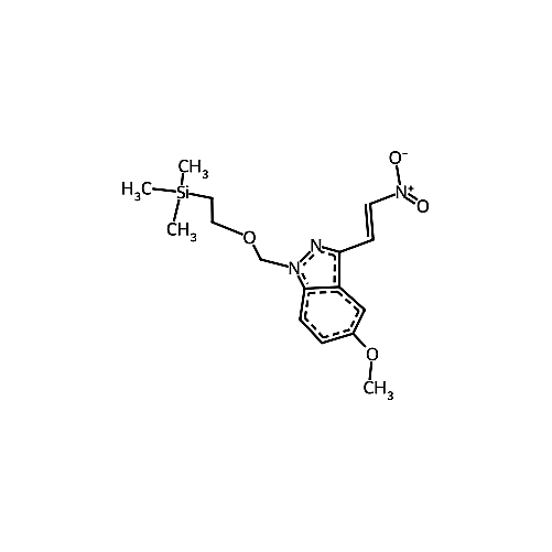 COc1ccc2c(c1)c(C=C[N+](=O)[O-])nn2COCC[Si](C)(C)C